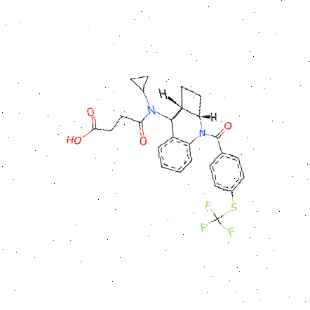 O=C(O)CCC(=O)N(C1CC1)C1c2ccccc2N(C(=O)c2ccc(SC(F)(F)F)cc2)[C@H]2CC[C@@H]12